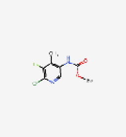 Cc1c(NC(=O)OC(C)(C)C)cnc(Cl)c1F